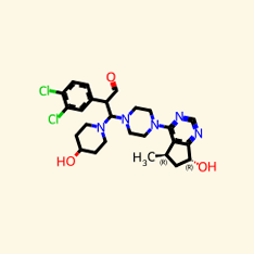 C[C@@H]1C[C@@H](O)c2ncnc(N3CCN(C(C(C=O)c4ccc(Cl)c(Cl)c4)N4CCC(O)CC4)CC3)c21